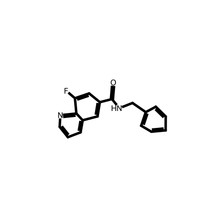 O=C(NCc1ccccc1)c1cc(F)c2ncccc2c1